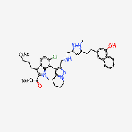 COC(=O)c1c(CCCOC(C)=O)c2ccc(Cl)c(-c3c(CNCc4cc(CCc5cc(O)c6ccccc6c5)n(C)n4)nn4c3CCCC4)c2n1C